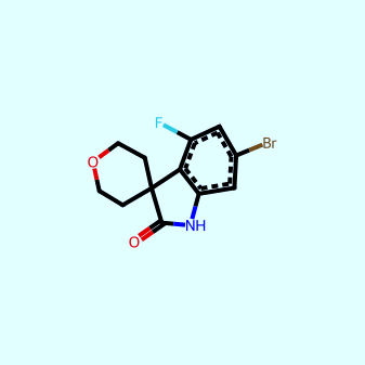 O=C1Nc2cc(Br)cc(F)c2C12CCOCC2